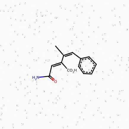 CC(=C/c1ccccc1)/C(=C/C(N)=O)C(=O)O